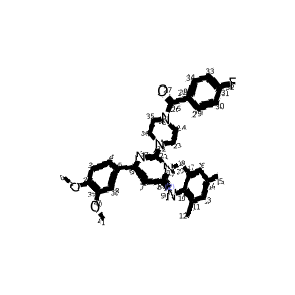 COc1ccc(-c2c/c(=N/c3c(C)cc(C)cc3C)n(C)c(N3CCN(C(=O)c4ccc(F)cc4)CC3)n2)cc1OC